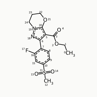 CCOC(=O)c1c(-c2ccc(S(C)(=O)=O)cc2F)nn2c1OCCC2